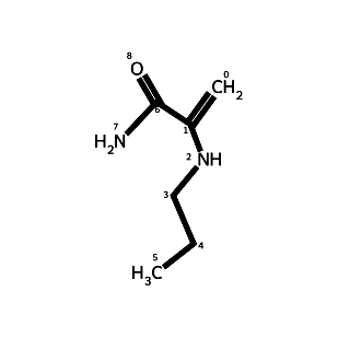 C=C(NCCC)C(N)=O